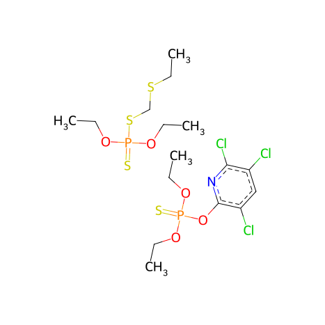 CCOP(=S)(OCC)Oc1nc(Cl)c(Cl)cc1Cl.CCOP(=S)(OCC)SCSCC